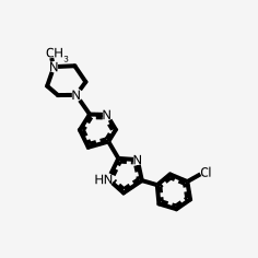 CN1CCN(c2ccc(-c3nc(-c4cccc(Cl)c4)c[nH]3)cn2)CC1